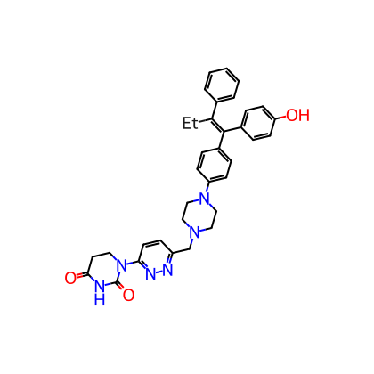 CCC(=C(c1ccc(O)cc1)c1ccc(N2CCN(Cc3ccc(N4CCC(=O)NC4=O)nn3)CC2)cc1)c1ccccc1